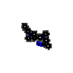 CC1(CN=[N+]=[N-])c2ccccc2-c2ccc(N(c3ccccc3)c3ccc(-c4ccc(-c5ccccc5N(c5ccccc5)c5ccc(-c6ccccc6)cc5)cc4)cc3)cc21